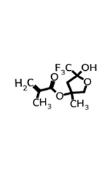 C=C(C)C(=O)OC1(C)COC(O)(C(F)(F)F)C1